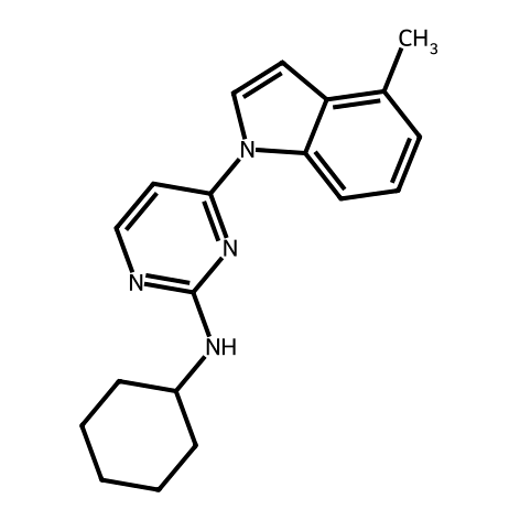 Cc1cccc2c1ccn2-c1ccnc(NC2CCCCC2)n1